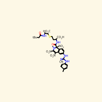 Cc1ccc(NC(=NC#N)Nc2ccc3c(c2)C([N+](=O)[O-])=C([N+](=O)[O-])N(C)C3(C(=O)NC(CCSCC(NC(=O)CC(C)(C)C)C(=O)O)C(=O)O)[N+](=O)[O-])cc1